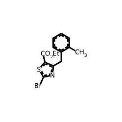 CCOC(=O)c1sc(Br)nc1Cc1ccccc1C